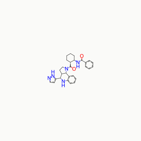 O=C(N[C@@H]1CCCC[C@@H]1C(=O)N1CCC2C(c3ccn[nH]3)Nc3ccccc3C21)c1ccccc1